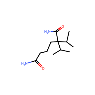 CC(C)C(CCCC(N)=O)(C(N)=O)C(C)C